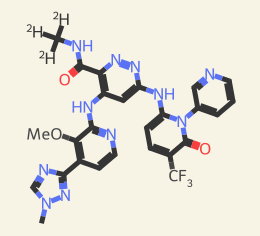 [2H]C([2H])([2H])NC(=O)c1nnc(Nc2ccc(C(F)(F)F)c(=O)n2-c2cccnc2)cc1Nc1nccc(-c2ncn(C)n2)c1OC